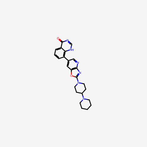 O=c1nc[nH]c2c(-c3cnc4nc(N5CCC(N6CCCCC6)CC5)oc4c3)cccc12